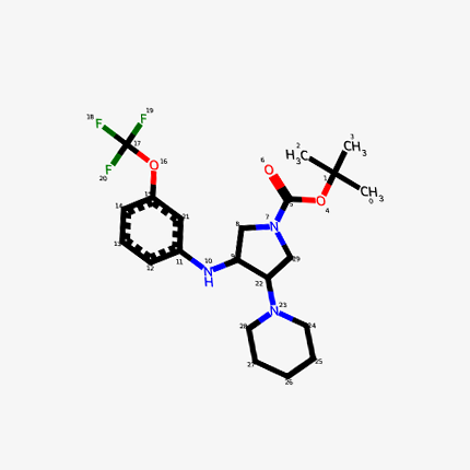 CC(C)(C)OC(=O)N1CC(Nc2cccc(OC(F)(F)F)c2)C(N2CCCCC2)C1